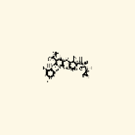 Cn1c(Nc2ccc(I)cc2F)c(C(N)=O)cc(Cc2ccnc(NS(=O)(=O)NC3CC3)c2F)c1=O